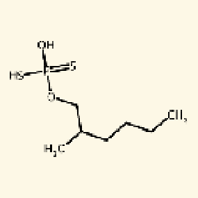 CCCCC(C)COP(O)(=S)S